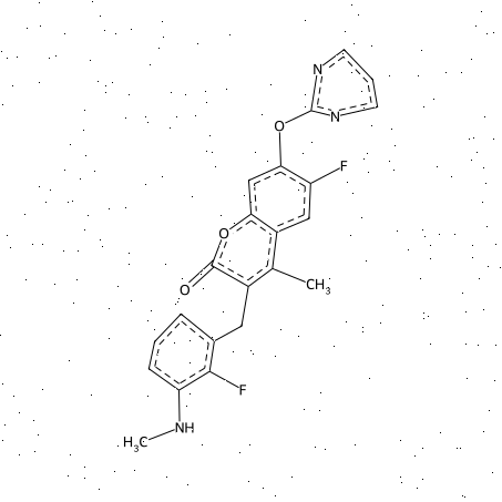 CNc1cccc(Cc2c(C)c3cc(F)c(Oc4ncccn4)cc3oc2=O)c1F